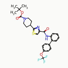 CC(C)(C)OC(=O)N1CCC(c2nc(C(=O)Nc3ccccc3-c3ccc(OC(F)(F)F)cc3)cs2)CC1